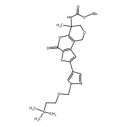 CC(C)(C)OC(=O)NC1(C)COCc2c1oc(=O)c1sc(-c3cnn(COCC[Si](C)(C)C)c3)cc21